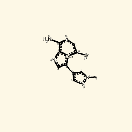 Cn1cc(-c2cnc3c(N)ncc(Br)n23)cn1